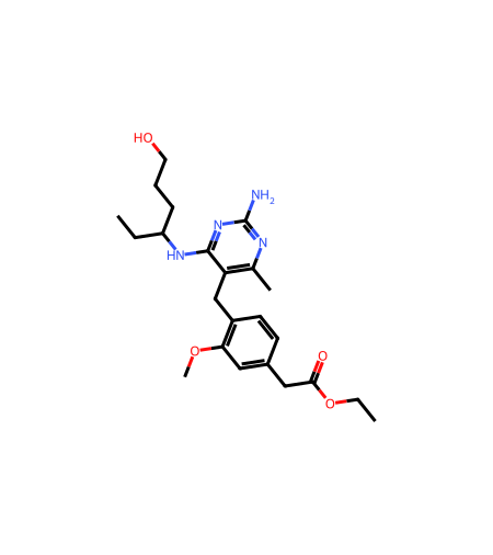 CCOC(=O)Cc1ccc(Cc2c(C)nc(N)nc2NC(CC)CCCO)c(OC)c1